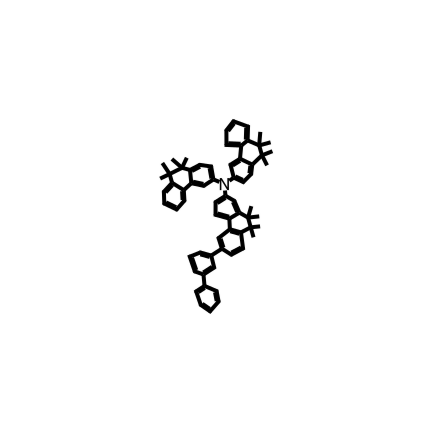 CC1(C)c2ccccc2-c2cc(N(c3ccc4c(c3)-c3ccccc3C(C)(C)C4(C)C)c3ccc4c(c3)C(C)(C)C(C)(C)c3ccc(-c5cccc(-c6ccccc6)c5)cc3-4)ccc2C1(C)C